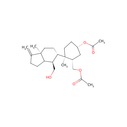 C=C1CCC2[C@H](CO)[C@@H]([C@@]3(C)CC[C@H](OC(C)=O)C[C@@H]3COC(C)=O)CC[C@]12C